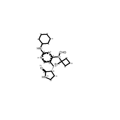 CCC1(N(C=O)c2nc(NC3CCCCC3)ncc2C[C@@H]2CCNC2=O)CCC1